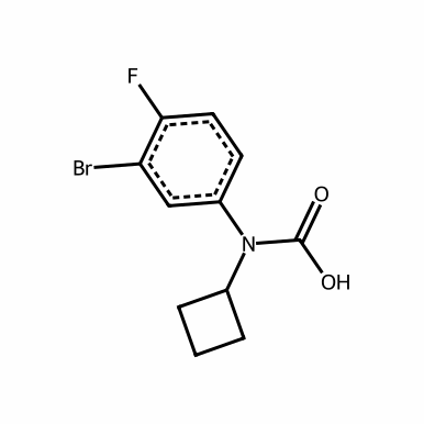 O=C(O)N(c1ccc(F)c(Br)c1)C1CCC1